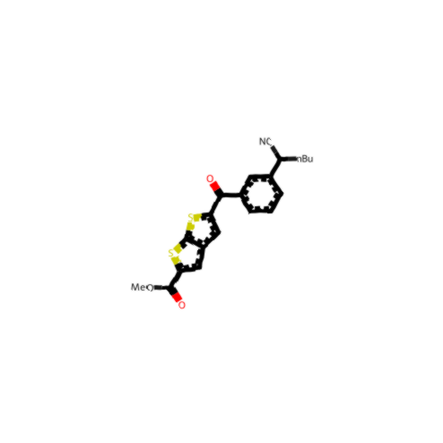 CCCCC(C#N)c1cccc(C(=O)c2cc3cc(C(=O)OC)sc3s2)c1